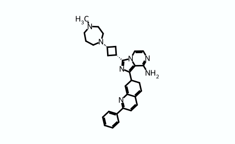 CN1CCCN([C@H]2C[C@@H](c3nc(C4C=c5nc(-c6ccccc6)ccc5=CC4)c4c(N)nccn43)C2)CC1